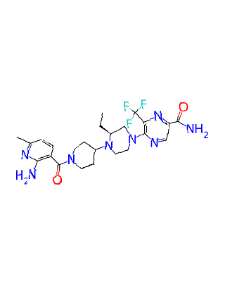 CC[C@H]1CN(c2ncc(C(N)=O)nc2C(F)(F)F)CCN1C1CCN(C(=O)c2ccc(C)nc2N)CC1